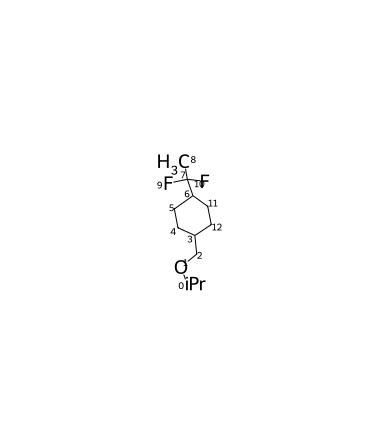 CC(C)OCC1CCC(C(C)(F)F)CC1